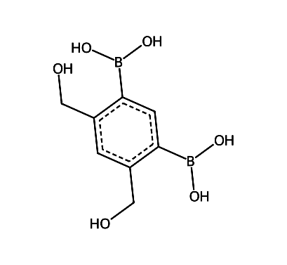 OCc1cc(CO)c(B(O)O)cc1B(O)O